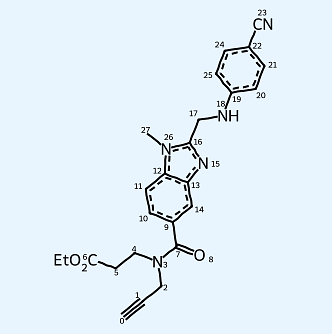 C#CCN(CCC(=O)OCC)C(=O)c1ccc2c(c1)nc(CNc1ccc(C#N)cc1)n2C